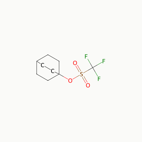 O=S(=O)(OC12CCC(CC1)CC2)C(F)(F)F